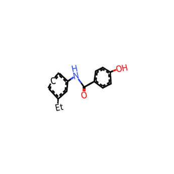 CCc1cccc(NC(=O)c2ccc(O)cc2)c1